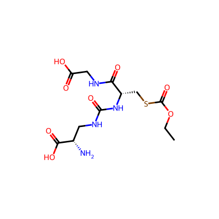 CCOC(=O)SC[C@H](NC(=O)NC[C@H](N)C(=O)O)C(=O)NCC(=O)O